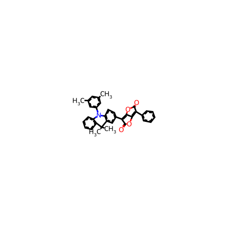 Cc1cc(C)cc(N2c3ccccc3C(C)(C)c3cc(C4=C5OC(=O)C(c6ccccc6)=C5OC4=O)ccc32)c1